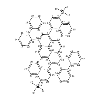 C[Si](C)(C)c1ccc(-c2cc(-c3ccccc3-c3ccccc3)c3ccc4c(-c5ccc([Si](C)(C)C)c6ccccc56)cc(-c5ccccc5-c5ccccc5)c5ccc2c3c54)c2ccccc12